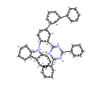 c1ccc(-c2cccc(-c3ccc(-n4c5ccccc5c5ccccc54)c(-c4nc(-c5ccccc5)nc(-c5ccccc5)n4)c3)c2)cc1